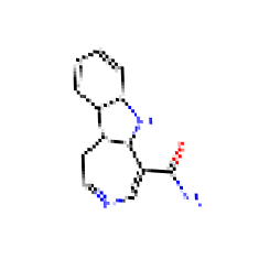 NC(=O)C1=CN=CCC2C1NC1C=CC=CC12